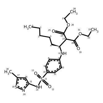 CCCCC[C@H](Nc1ccc(S(=O)(=O)Nc2cc(C)sn2)cc1)C(C(=O)OCC)C(=O)OCC